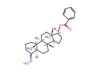 C[C@]12CCCC(=NO)[C@@H]1CC[C@@H]1[C@@H]2CC[C@]2(C)[C@@H](OC(=O)c3ccccc3)CC[C@@H]12